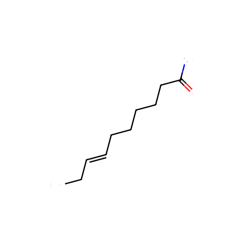 CC/C=C/CCCCCC(N)=O